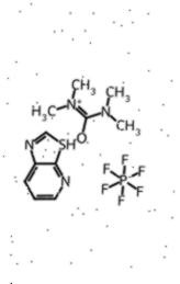 CN(C)C(O[SH]1C=Nc2cccnc21)=[N+](C)C.F[P-](F)(F)(F)(F)F